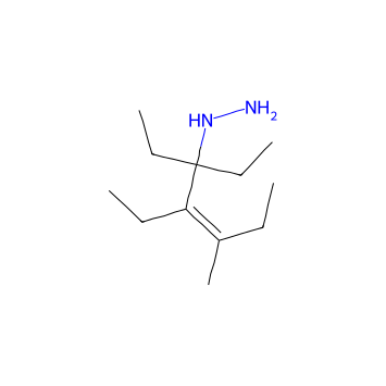 CCC(C)=C(CC)C(CC)(CC)NN